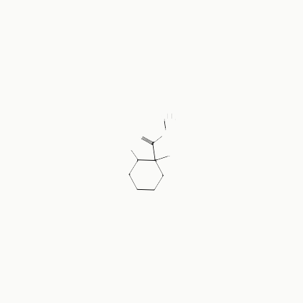 COC(=O)C1(F)CCCC[C]1F